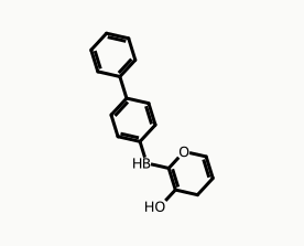 OC1=C(Bc2ccc(-c3ccccc3)cc2)OC=CC1